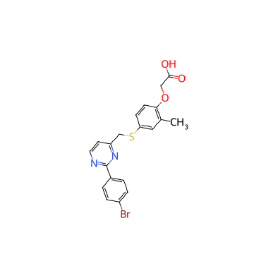 Cc1cc(SCc2ccnc(-c3ccc(Br)cc3)n2)ccc1OCC(=O)O